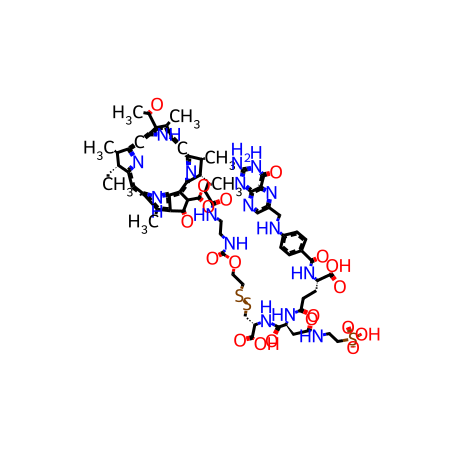 CC[C@H]1c2cc3[nH]c4c(c3C)C(=O)C(C(=O)OC)c4c3nc(cc4[nH]c(cc(n2)[C@@H]1C)c(C(C)=O)c4C)[C@@H](C)[C@@H]3CCC(=O)NCCNC(=O)OCCSSC[C@H](NC(=O)[C@H](CC(=O)NCCS(=O)(=O)O)NC(=O)CC[C@H](NC(=O)c1ccc(NCc2cnc3nc(N)[nH]c(=O)c3n2)cc1)C(=O)O)C(=O)O